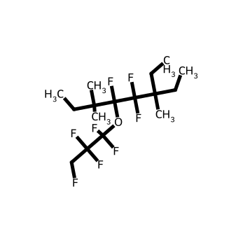 CCC(C)(C)C(F)(OC(F)(F)C(F)(F)CF)C(F)(F)C(C)(CC)CC